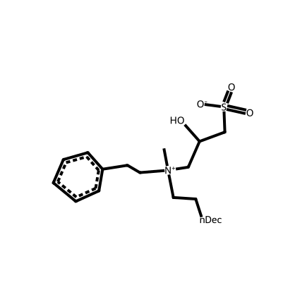 CCCCCCCCCCCC[N+](C)(CCc1ccccc1)CC(O)CS(=O)(=O)[O-]